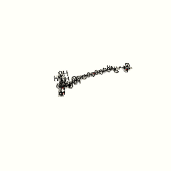 O=C(CCCCCN1C(=O)C=CC1=O)NCCOCCOCCOCCOCCOCCOCCOCCOCC(=O)NCC(=O)NCC(=O)N[C@@H](Cc1ccccc1)C(=O)NCC(=O)NCO